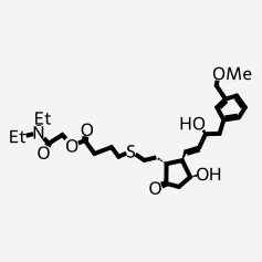 CCN(CC)C(=O)COC(=O)CCCSCC[C@H]1C(=O)C[C@@H](O)[C@@H]1/C=C/[C@@H](O)Cc1cccc(COC)c1